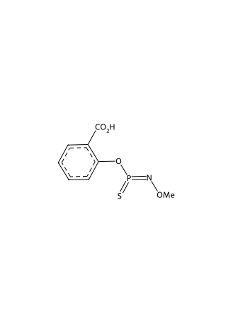 CO/N=P(=S)/Oc1ccccc1C(=O)O